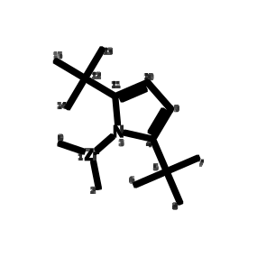 [CH3][Zr]([CH3])[n]1c(C(C)(C)C)ccc1C(C)(C)C